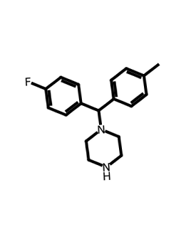 Cc1ccc(C(c2ccc(F)cc2)N2CCNCC2)cc1